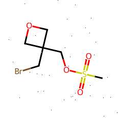 CS(=O)(=O)OCC1(CBr)COC1